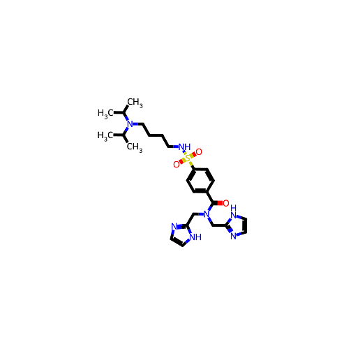 CC(C)N(CCCCNS(=O)(=O)c1ccc(C(=O)N(Cc2ncc[nH]2)Cc2ncc[nH]2)cc1)C(C)C